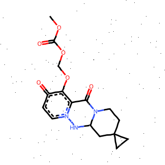 COC(=O)OCOc1c2n(ccc1=O)NC1CC3(CCN1C2=O)CC3